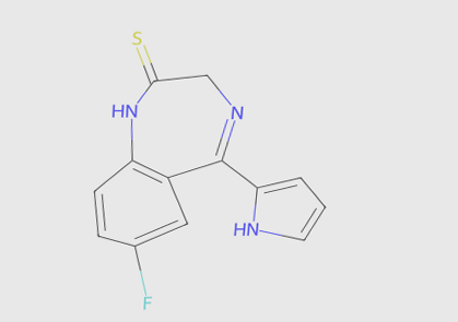 Fc1ccc2c(c1)C(c1ccc[nH]1)=NCC(=S)N2